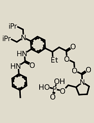 CCC(CC(=O)OCOC(=O)N1CCCC1COP(=O)(O)O)c1ccc(N(CC(C)C)CC(C)C)c(NC(=O)Nc2ccc(C)cc2)c1